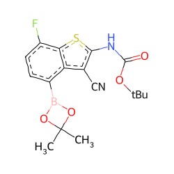 CC(C)(C)OC(=O)Nc1sc2c(F)ccc(B3OC(C)(C)O3)c2c1C#N